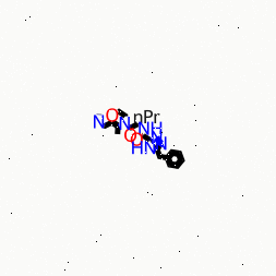 CCCC(NC(=O)c1nnc(Cc2ccccc2)[nH]1)C(=O)N1CCOC(/C=N\C)=C1C